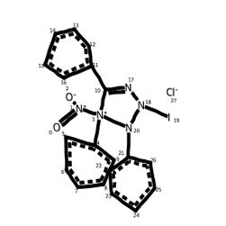 O=[N+]([O-])[N+]1(c2ccccc2)C(c2ccccc2)=NN(I)N1c1ccccc1.[Cl-]